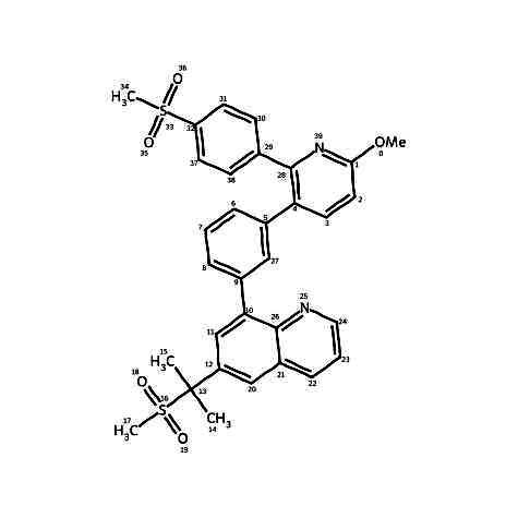 COc1ccc(-c2cccc(-c3cc(C(C)(C)S(C)(=O)=O)cc4cccnc34)c2)c(-c2ccc(S(C)(=O)=O)cc2)n1